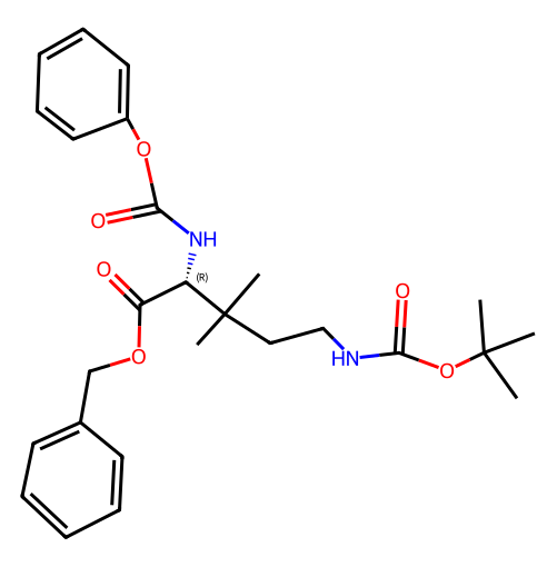 CC(C)(C)OC(=O)NCCC(C)(C)[C@@H](NC(=O)Oc1ccccc1)C(=O)OCc1ccccc1